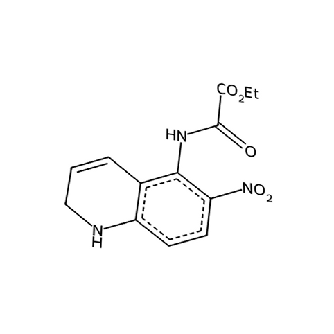 CCOC(=O)C(=O)Nc1c([N+](=O)[O-])ccc2c1C=CCN2